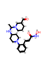 CC(NC1CCN(c2ccccc2C=CC(=O)NO)CC1)N1CCCC(C=O)C1